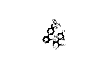 CN(C)CC1(O)CCN(c2ccncc2NC(=O)C(C(N)N=O)C2NCC(Cl)CN2)CC1